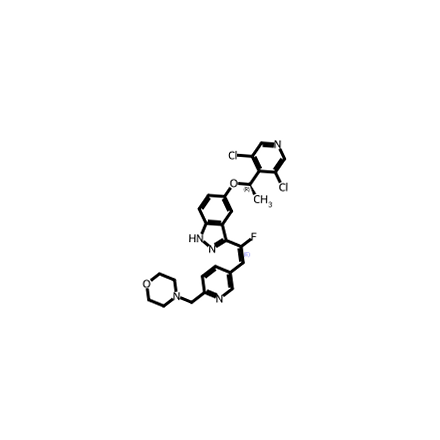 C[C@@H](Oc1ccc2[nH]nc(/C(F)=C\c3ccc(CN4CCOCC4)nc3)c2c1)c1c(Cl)cncc1Cl